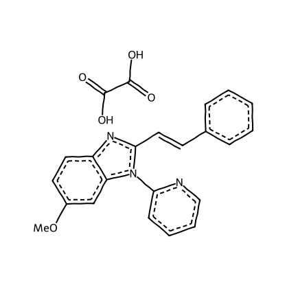 COc1ccc2nc(C=Cc3ccccc3)n(-c3ccccn3)c2c1.O=C(O)C(=O)O